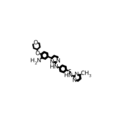 Cc1ccnc(NSc2ccc(Nc3nccc(-c4ccc(OC5CCOCC5)c(N)c4)n3)cc2)n1